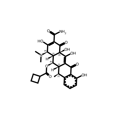 C[C@@H]1c2cccc(O)c2C(=O)C2=C(O)[C@@]3(O)C(=O)C(C(N)=O)=C(O)[C@H](N(C)C)[C@H]3[C@H](OC(=O)C3CCC3)[C@H]21